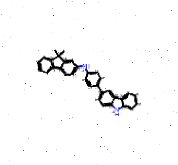 CC1(C)c2ccccc2-c2ccc(Nc3ccc(-c4ccc5[nH]c6ccccc6c5c4)cc3)cc21